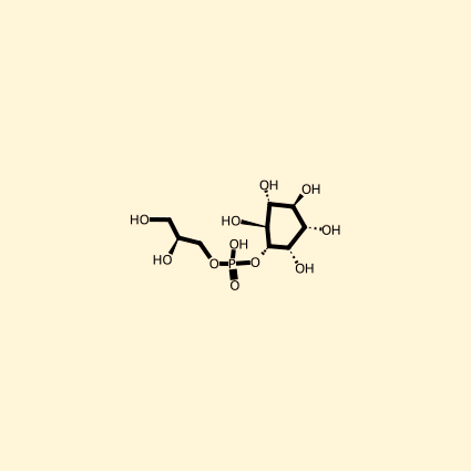 O=P(O)(OC[C@@H](O)CO)O[C@@H]1[C@@H](O)[C@H](O)[C@@H](O)[C@H](O)[C@@H]1O